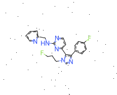 FCCCn1cnc(-c2ccc(F)cc2)c1-c1ccnc(NCc2ccccn2)n1